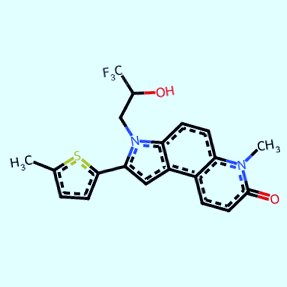 Cc1ccc(-c2cc3c4ccc(=O)n(C)c4ccc3n2CC(O)C(F)(F)F)s1